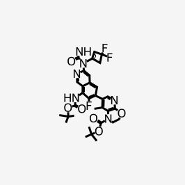 Cc1c(-c2cc3cc(N(C(N)=O)C4CC(F)(F)C4)ncc3c(NC(=O)OC(C)(C)C)c2F)cnc2c1N(C(=O)OC(C)(C)C)CCO2